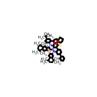 CC(C)(C)c1ccc(N2c3cc4c(sc5ccccc54)c4c3B(c3oc5cc6c(cc5c32)C(C)(C)CCC6(C)C)N(c2ccc3c(c2)C(C)(C)CCC3(C)C)c2cc(-c3ccccc3)ccc2-4)c(-c2ccccc2)c1